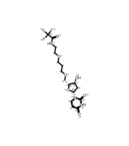 O=C(NCCOCCCOC[C@H]1O[C@@H](n2ccc(=O)[nH]c2=O)C[C@@H]1O)C(F)(F)F